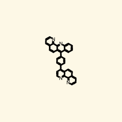 c1cnc2c(c1)ccc1c(-c3ccc(-c4c5ccccc5nc5c4ccc4cccnc45)cc3)ccnc12